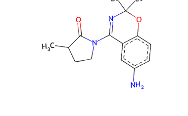 CCC1(CC)N=C(N2CCC(C)C2=O)c2cc(N)ccc2O1